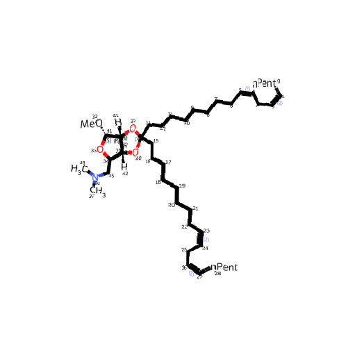 CCCCC/C=C\C/C=C\CCCCCCCCC1(CCCCCCCC/C=C\C/C=C\CCCCC)O[C@H]2[C@@H](OC)OC(CN(C)C)[C@H]2O1